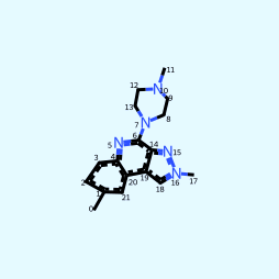 Cc1ccc2nc(N3CCN(C)CC3)c3nn(C)cc3c2c1